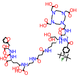 CC(C)(C)[Si](F)(c1ccc(C(=O)NC[C@@H](NC(=O)CN2CCN(CC(=O)O)CCN(CC(=O)O)CCN(CC(=O)O)CC2)C(=O)N[C@H](CCCCNC(=O)CCC(=O)NCCC[C@@H](NC(O)CC[C@H](NC(=O)N[C@@H](Cc2ccco2)C(=O)O)C(=O)O)C(=O)O)CC(O)O)cc1)C(C)(C)C